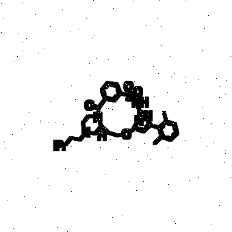 Cc1cccc(C)c1-c1cc2nc(n1)NS(=O)(=O)c1cccc(c1)C(=O)N1CCN(CCC(C)C)C[C@@H]1CCO2